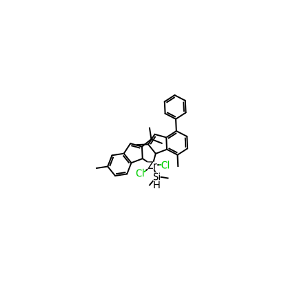 CC1=Cc2c(-c3ccccc3)ccc(C)c2[CH]1[Zr]([Cl])([Cl])([CH]1C(C(C)C)=Cc2cc(C)ccc21)[SiH](C)C